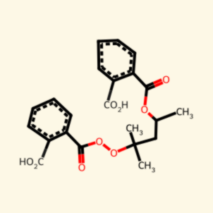 CC(CC(C)(C)OOC(=O)c1ccccc1C(=O)O)OC(=O)c1ccccc1C(=O)O